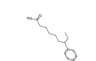 CCC(CCCCCC(=O)O)c1ccccc1